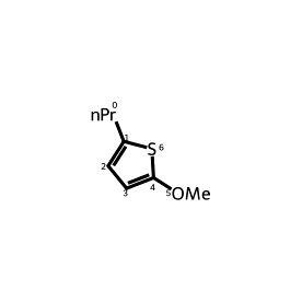 CCCc1ccc(OC)s1